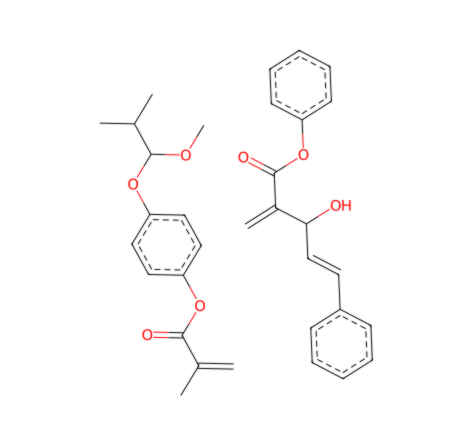 C=C(C(=O)Oc1ccccc1)C(O)C=Cc1ccccc1.C=C(C)C(=O)Oc1ccc(OC(OC)C(C)C)cc1